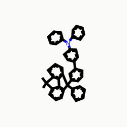 CC1(C)c2cccc3c2-c2c1cccc2C3(c1ccccc1)c1cccc(-c2ccc(N(c3ccccc3)c3ccccc3)cc2)c1